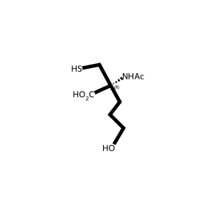 CC(=O)N[C@](CS)(CCCO)C(=O)O